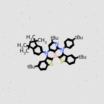 CC(C)(C)c1ccc(N2c3nc(C(C)(C)C)cc4c3B(c3sc5ccc(C(C)(C)C)cc5c3N4c3ccc4c(c3)C(C)(C)CC4(C)C)c3sc4ccc(C(C)(C)C)cc4c32)cc1